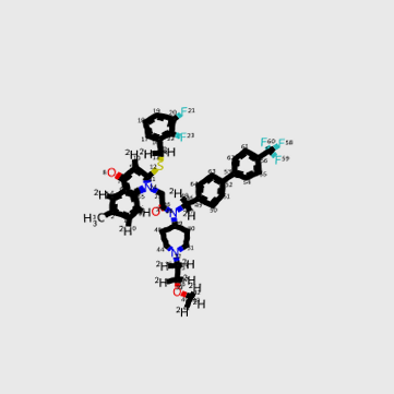 [2H]c1c(C)c([2H])c2c(=O)c([2H])c(SC([2H])([2H])c3cccc(F)c3F)n(CC(=O)N(C3CCN(C([2H])([2H])C([2H])([2H])OC([2H])([2H])[2H])CC3)C([2H])([2H])c3ccc(-c4ccc(C(F)(F)F)cc4)cc3)c2c1[2H]